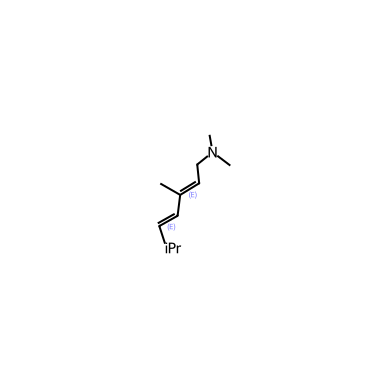 CC(/C=C/C(C)C)=C\CN(C)C